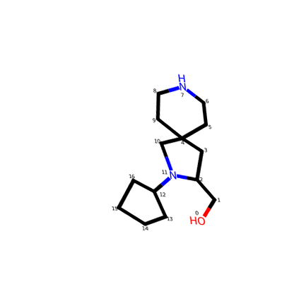 OCC1CC2(CCNCC2)CN1C1CCCC1